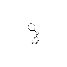 c1cc(OC2CCCCC2)cs1